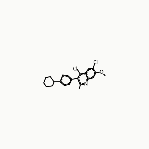 COc1cc2nc(C)c(-c3ccc(C4CCCCC4)cc3)c(Cl)c2cc1Cl